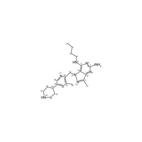 CCCCNc1nc(N)nc2c(C)nn(Cc3ncc(C4CCNCC4)cc3C)c12